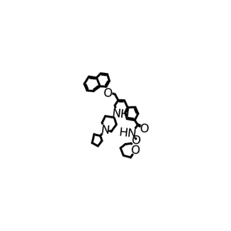 O=C(NOC1CCCCO1)c1ccc(C=C(CNC2CCN(C3CCCC3)CC2)COc2cccc3ccccc23)cc1